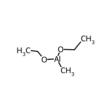 CC[O][Al]([CH3])[O]CC